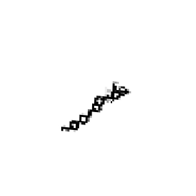 CCCc1ccc(C2CCC(/C=C/C3CCC4CC(COc5ccc(OCC)c(F)c5F)CCC4C3)CC2)cc1